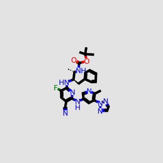 Cc1ncc(Nc2nc(N[C@H](Cc3ccccc3)[C@H](C)NC(=O)OC(C)(C)C)c(F)cc2C#N)cc1-n1nccn1